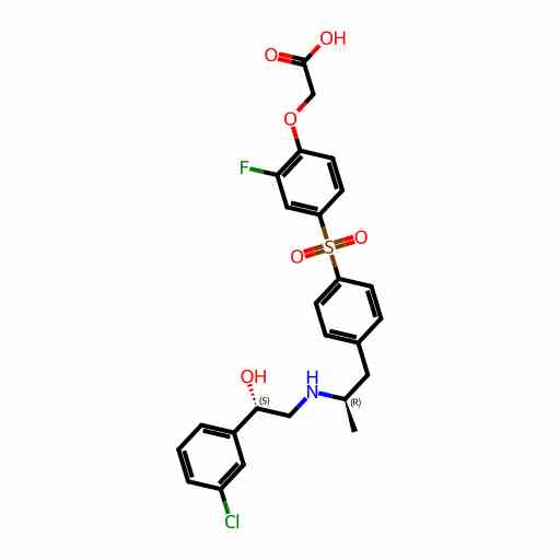 C[C@H](Cc1ccc(S(=O)(=O)c2ccc(OCC(=O)O)c(F)c2)cc1)NC[C@@H](O)c1cccc(Cl)c1